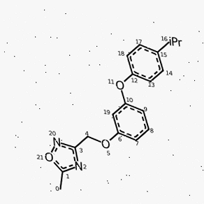 Cc1nc(COc2cccc(Oc3ccc(C(C)C)cc3)c2)no1